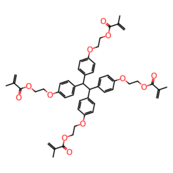 C=C(C)C(=O)OCCOc1ccc(C(c2ccc(OCCOC(=O)C(=C)C)cc2)C(c2ccc(OCCOC(=O)C(=C)C)cc2)c2ccc(OCCOC(=O)C(=C)C)cc2)cc1